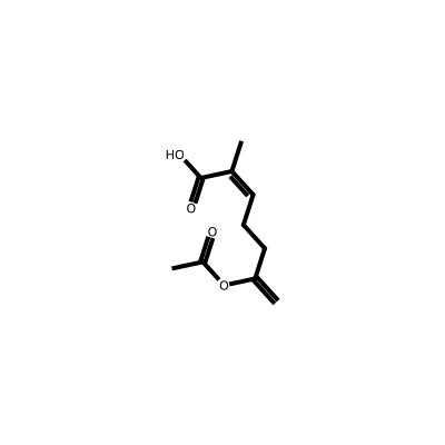 C=C(CCC=C(C)C(=O)O)OC(C)=O